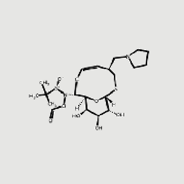 CC(C)(C)[S@@+]([O-])N(OC=O)[C@@H]1C/C=C\[C@@H](CN2CCCC2)CS[C@H]2O[C@H]1[C@H](O)[C@H](O)[C@H]2O